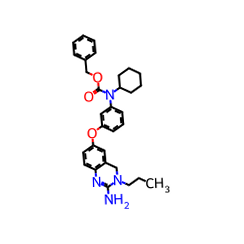 CCCN1Cc2cc(Oc3cccc(N(C(=O)OCc4ccccc4)C4CCCCC4)c3)ccc2N=C1N